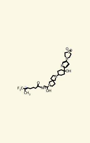 C/C(=C\CCCC(=O)NCC(O)N1CCC2(CCN(C3CCC(O)(c4ccc(N5CCS(=O)(=O)CC5)cn4)CC3)C2)C1)C(F)(F)F